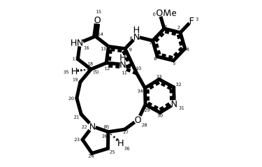 COc1c(F)cccc1Nc1c2[nH]c3c1C(=O)NC[C@@H]3CCCN1CCC[C@@H]1COc1cnccc1-2